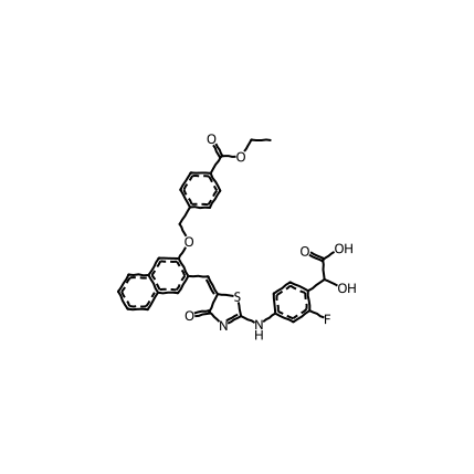 CCOC(=O)c1ccc(COc2cc3ccccc3cc2/C=C2/SC(Nc3ccc(C(O)C(=O)O)c(F)c3)=NC2=O)cc1